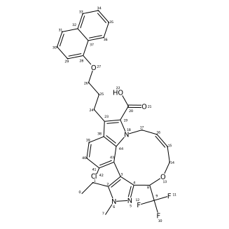 CCc1c2c(nn1C)C(C(F)(F)F)OC/C=C\Cn1c(C(=O)O)c(CCCOc3cccc4ccccc34)c3ccc(Cl)c-2c31